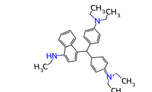 CCNc1ccc(C(c2ccc(N(CC)CC)cc2)C2C=CC(=[N+](CC)CC)C=C2)c2ccccc12